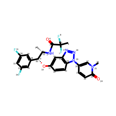 C[C@H](NC(=O)C(C)(F)F)[C@H](Oc1ccc2c(c1)nnn2-c1ccc(=O)n(C)c1)c1cc(F)cc(F)c1